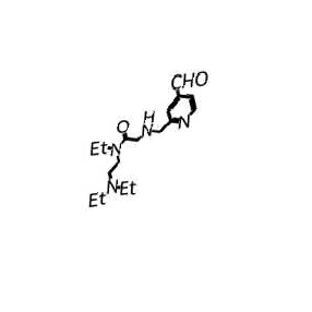 CCN(CC)CCN(CC)C(=O)CNCc1cc(C=O)ccn1